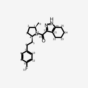 C[C@@H]1CC[C@H](CCc2ccc(F)cc2)N1C(=O)c1n[nH]c2c1CCCC2